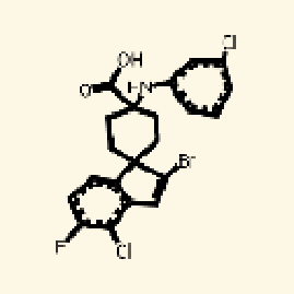 O=C(O)C1(Nc2cccc(Cl)c2)CCC2(CC1)C(Br)=Cc1c2ccc(F)c1Cl